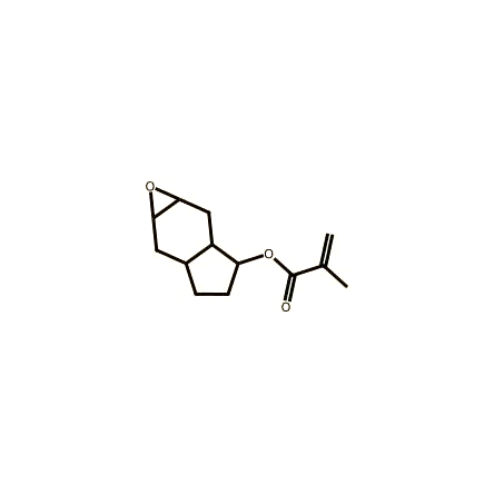 C=C(C)C(=O)OC1CCC2CC3OC3CC21